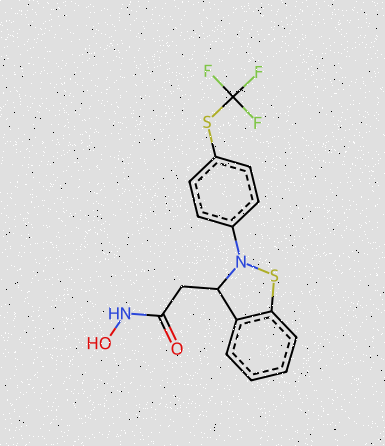 O=C(CC1c2ccccc2SN1c1ccc(SC(F)(F)F)cc1)NO